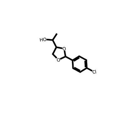 CC(O)C1COC(c2ccc(Cl)cc2)O1